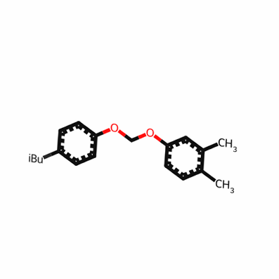 CCC(C)c1ccc(OCOc2ccc(C)c(C)c2)cc1